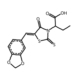 CCC(C(=O)O)N1C(=O)C(=Cc2ccc3c(c2)OCO3)SC1=S